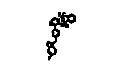 O=S(=O)(Nc1nccnc1-c1ccc(Cn2ccc3cc(F)ccc32)cc1)c1ccccc1C(F)(F)F